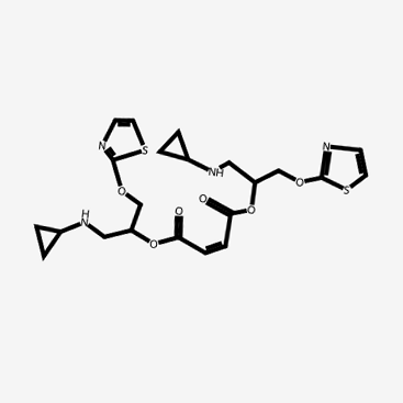 O=C(/C=C\C(=O)OC(CNC1CC1)COc1nccs1)OC(CNC1CC1)COc1nccs1